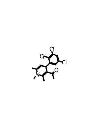 CC(=O)C1=C(C)N(C)C(C)=[C]C1c1cc(Cl)cc(Cl)c1Cl